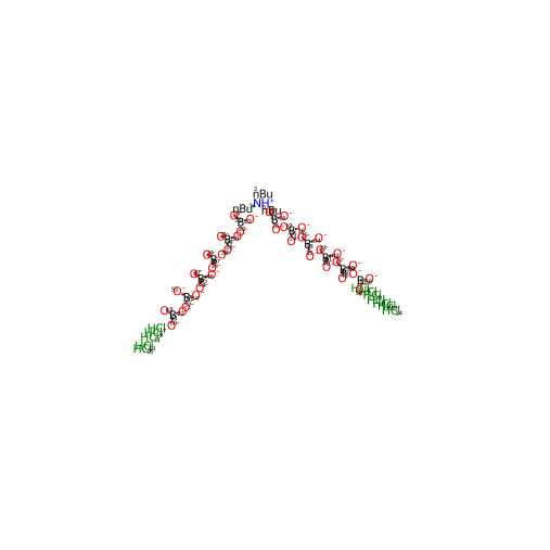 CCCC[NH+](CCCC)CCCC.Cl.Cl.Cl.Cl.Cl.Cl.Cl.Cl.Cl.Cl.Cl.Cl.[O-]B([O-])[O-].[O-]B([O-])[O-].[O-]B([O-])[O-].[O-]B([O-])[O-].[O-]B([O-])[O-].[O-]B([O-])[O-].[O-]B([O-])[O-].[O-]B([O-])[O-].[O-]B([O-])[O-].[O-]B([O-])[O-].[O-]B([O-])[O-].[O-]B([O-])[O-]